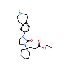 CCOC(=O)CCC1(N2CCN(c3ccc4c(c3)CCN(C)CC4)C2=O)CCCCC1